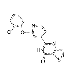 O=c1[nH]c(-c2ccnc(Oc3ccccc3Cl)c2)nc2ccsc12